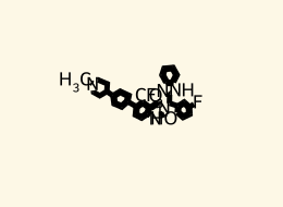 CN1CCC(c2ccc(-c3ccc4ncn(C(c5nc6ccccc6[nH]5)c5cc(F)ccc5O)c(=O)c4c3C(F)(F)F)cc2)CC1